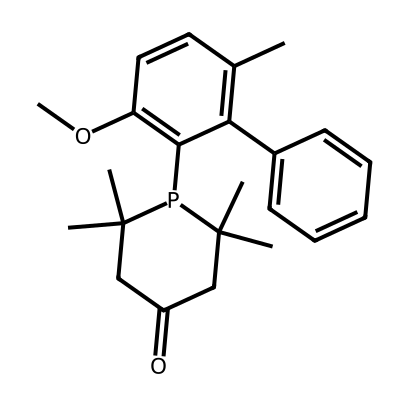 COc1ccc(C)c(-c2ccccc2)c1P1C(C)(C)CC(=O)CC1(C)C